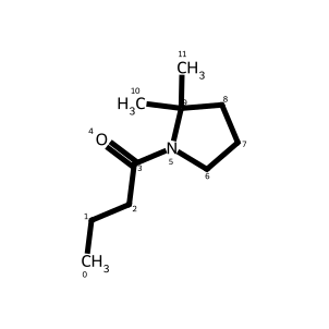 CCCC(=O)N1CCCC1(C)C